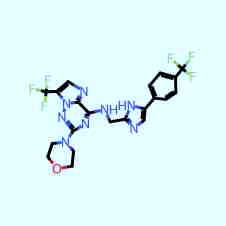 FC(F)(F)c1ccc(-c2cnc(CNc3nc(N4CCOCC4)nn4c(C(F)(F)F)cnc34)[nH]2)cc1